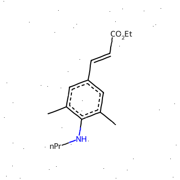 CCCNc1c(C)cc(C=CC(=O)OCC)cc1C